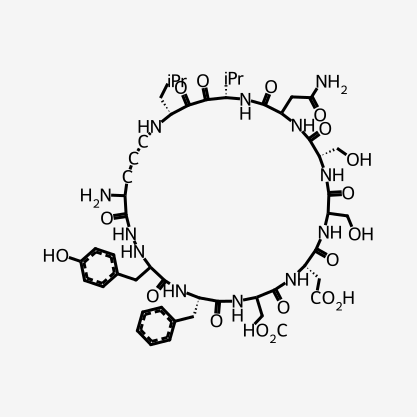 CC(C)C[C@H]1NCCCC(N)C(=O)NNC(Cc2ccc(O)cc2)C(=O)N[C@@H](Cc2ccccc2)C(=O)NC(CC(=O)O)C(=O)N[C@@H](CC(=O)O)C(=O)NC(CO)C(=O)N[C@@H](CO)C(=O)NC(CC(N)=O)C(=O)N[C@@H](C(C)C)C(=O)C1=O